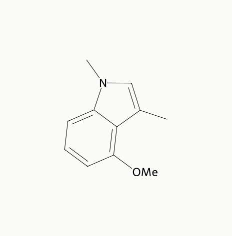 COc1cccc2c1c(C)cn2C